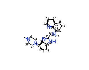 CN1CCN(c2cccc3[nH]c(CN(C)[C@@H]4CCCc5cccnc54)nc23)CC1